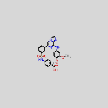 COc1ccc(Nc2nc(-c3cccc(S(=O)(=O)Nc4ccc(C(=O)O)cc4)c3)cn3ccnc23)cc1OC